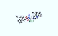 COc1cc(OC(=O)NCCCN2CCN(c3ccccc3OC)CC2)ccc1-c1ccccc1.Cl